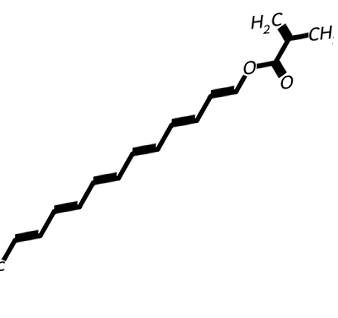 C=C(C)C(=O)O/C=C/C=C/C=C/C=C/C=C/C=C/CCCCCCCCCC